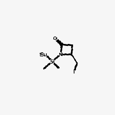 CC(C)(C)[Si](C)(C)N1C(=O)CC1CI